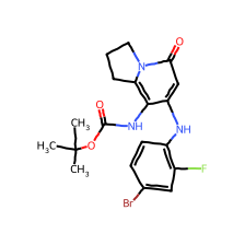 CC(C)(C)OC(=O)Nc1c(Nc2ccc(Br)cc2F)cc(=O)n2c1CCC2